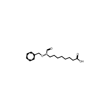 O=CN(CCCCCCCC(=O)O)OCc1ccccc1